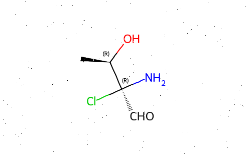 C[C@@H](O)[C@@](N)(Cl)C=O